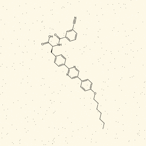 CCCCCCCOc1ccc(-c2cnc(-c3ccc(C[C@H](NC(=O)c4cccc(C#N)c4)C(=O)O)cc3)nc2)cc1